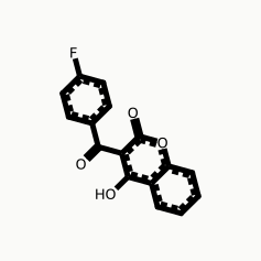 O=C(c1ccc(F)cc1)c1c(O)c2ccccc2oc1=O